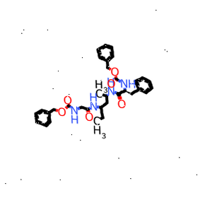 CCC(CC(C)NC(=O)[C@H](Cc1ccccc1)NC(=O)OCc1ccccc1)NC(=O)CNC(=O)OCc1ccccc1